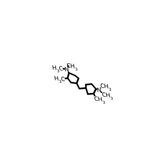 CC1CC(CC2CCC(N(C)C)C(C)C2)CCC1N(C)C